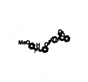 COc1ccc([C@@H](C)NCc2cccc(OCCN3CCN(C(Cc4ccccc4)C4=COCO4)CC3)c2)cc1